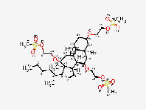 CCCC[C@@H](C)[C@H]1CC[C@H]2[C@@H]3[C@H](OCCOS(C)(=O)=O)C[C@@H]4CC(OCCOS(C)(=O)=O)CC[C@]4(C)[C@H]3C[C@H](OCCOS(C)(=O)=O)[C@]12C